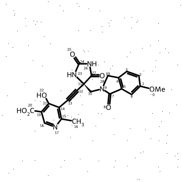 COc1ccc2c(c1)C(=O)N(C[C@@]1(C#Cc3c(C)ncc(C(=O)O)c3O)NC(=O)NC1=O)C2